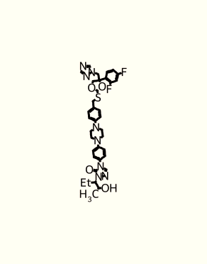 CCC(C(C)O)n1ncn(-c2ccc(N3CCN(c4ccc(CSC5OCC(Cn6cncn6)(c6ccc(F)cc6F)O5)cc4)CC3)cc2)c1=O